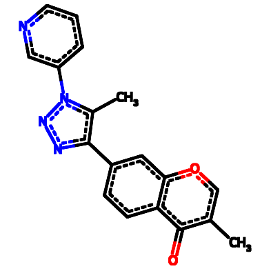 Cc1coc2cc(-c3nnn(-c4cccnc4)c3C)ccc2c1=O